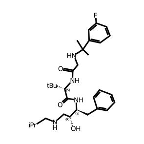 CC(C)CNC[C@@H](O)[C@H](Cc1ccccc1)NC(=O)[C@@H](NC(=O)CNC(C)(C)c1cccc(F)c1)C(C)(C)C